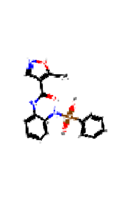 Cc1oncc1C(=O)Nc1ccccc1NS(=O)(=O)c1ccccc1